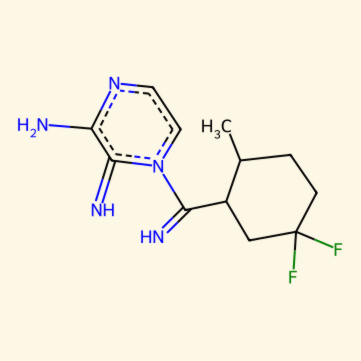 CC1CCC(F)(F)CC1C(=N)n1ccnc(N)c1=N